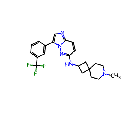 CN1CCC2(CC1)CC(Nc1ccc3ncc(-c4cccc(C(F)(F)F)c4)n3n1)C2